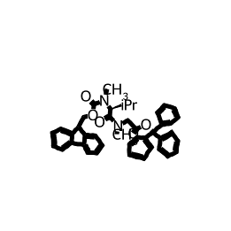 CC(C)[C@@H](C(=O)N(C)CC(=O)OC(c1ccccc1)(c1ccccc1)c1ccccc1)N(C)C(=O)OCC1c2ccccc2-c2ccccc21